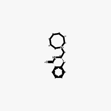 O=CN[C@@H](Cc1ccccc1)CN1CCCCCCC1